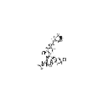 Clc1cccc(Cn2c(-c3ccc(OCCN4CCNCC4)cc3Cl)nc3c(OC4CC4)ncnc32)c1